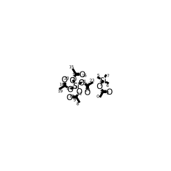 CC(=O)O[Si](C)(C)C.CC(=O)O[Si](OC(C)=O)(OC(C)=O)OC(C)=O